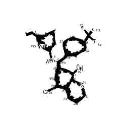 Cc1cccc(N[C@H](c2ccc(C(F)(F)F)cc2)c2cc(Cl)c3cccnc3c2O)n1